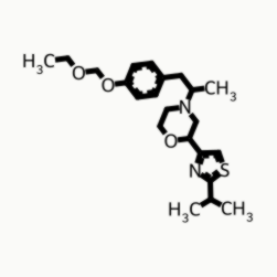 CCOCOc1ccc(CC(C)N2CCOC(c3csc(C(C)C)n3)C2)cc1